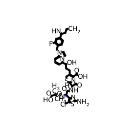 C=CCC(=N)c1ccc(CN2C=CN3C2=CC=CC3C(O)CCC2=C(C(=O)O)N3C(=O)[C@@H](NC(=O)/C(=N\OC(C)(C)C(=O)O)c4nc(N)sc4Cl)[C@H]3SC2)c(F)c1